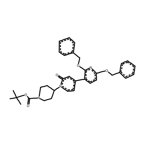 CC(C)(C)OC(=O)N1CCC(n2ccc(-c3ccc(OCc4ccccc4)nc3OCc3ccccc3)cc2=O)CC1